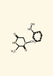 CC1NC(=O)CN(C)C1=O.ONc1ccccc1